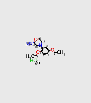 CCOc1ccc(OCC)c(N2CCOC(=[N+]=[N-])C2)c1.Cl.[Zn]